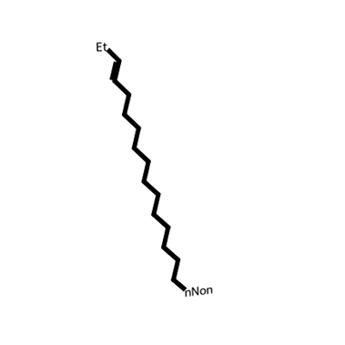 CC/C=C/CCCCCCCCCCCCCCCCCCCCC